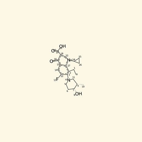 CCc1c(N2CC[C@@H](O)[C@@H](C)C2)c(F)cc2c(=O)c(C(=O)O)cn(C3CC3)c12